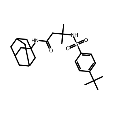 CC(C)(CC(=O)NC12CC3CC(CC(C3)C1)C2)NS(=O)(=O)c1ccc(C(C)(C)C)cc1